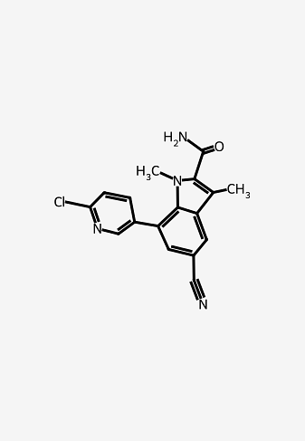 Cc1c(C(N)=O)n(C)c2c(-c3ccc(Cl)nc3)cc(C#N)cc12